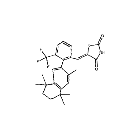 Cc1cc2c(cc1-c1c(C=C3SC(=O)NC3=O)cccc1C(F)(F)F)C(C)(C)CCC2(C)C